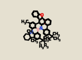 Cc1cc2c3c(c1)N1c4c(cc(C(C)(C)C)cc4C4(C)CCCCC14C)B3N(c1ccc(C(C)(C)C)cc1-c1ccccc1)c1ccc3oc4ccccc4c3c1-2